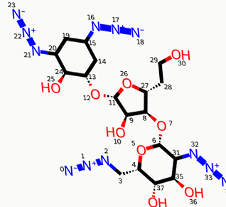 [N-]=[N+]=NC[C@@H]1O[C@H](O[C@H]2[C@@H](O)[C@H](O[C@H]3CC(N=[N+]=[N-])CC(N=[N+]=[N-])[C@@H]3O)O[C@@H]2CCO)C(N=[N+]=[N-])[C@@H](O)[C@@H]1O